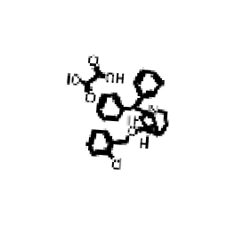 Clc1ccccc1CO[C@@H]1C2CCN(CC2)[C@@H]1C(c1ccccc1)c1ccccc1.O=C(O)C(=O)O